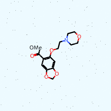 COC(=O)c1cc2c(cc1OCCN1CCOCC1)OCO2